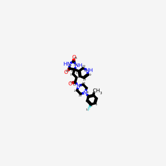 Cc1ccc(F)cc1N1CCN(C(=O)CCC2(C3=CC=CNC3)NC(=O)NC2=O)CC1